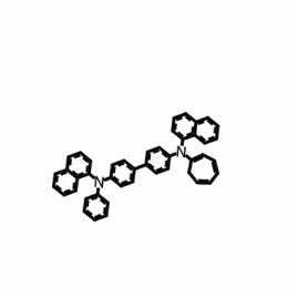 C1=CC=C(N(c2ccc(-c3ccc(N(c4ccccc4)c4cccc5ccccc45)cc3)cc2)c2cccc3ccccc23)CC=C1